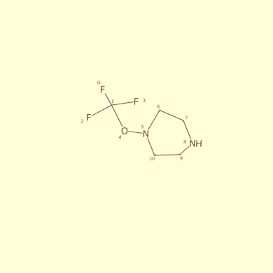 FC(F)(F)ON1CCNCC1